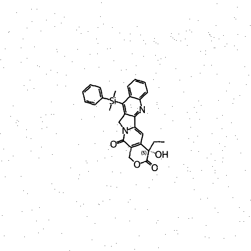 CC[C@@]1(O)C(=O)OCc2c1cc1n(c2=O)Cc2c-1nc1ccccc1c2[Si](C)(C)c1ccccc1